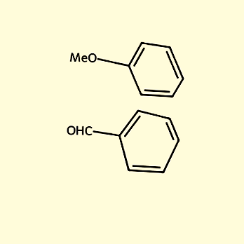 COc1ccccc1.O=Cc1ccccc1